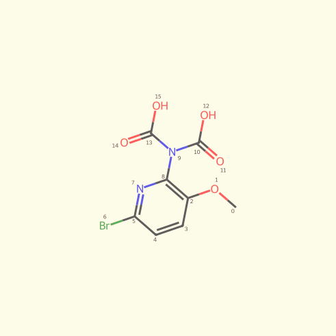 COc1ccc(Br)nc1N(C(=O)O)C(=O)O